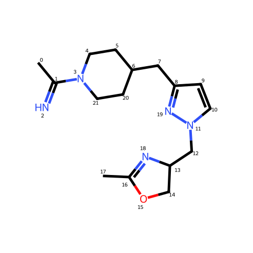 CC(=N)N1CCC(Cc2ccn(CC3COC(C)=N3)n2)CC1